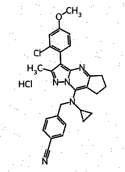 COc1ccc(-c2c(C)nn3c(N(Cc4ccc(C#N)cc4)C4CC4)c4c(nc23)CCC4)c(Cl)c1.Cl